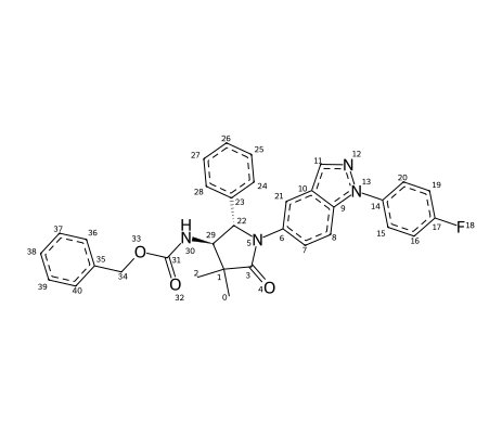 CC1(C)C(=O)N(c2ccc3c(cnn3-c3ccc(F)cc3)c2)[C@@H](c2ccccc2)[C@@H]1NC(=O)OCc1ccccc1